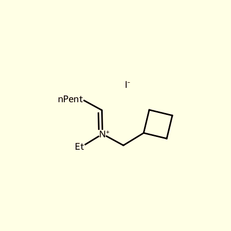 CCCCCC=[N+](CC)CC1CCC1.[I-]